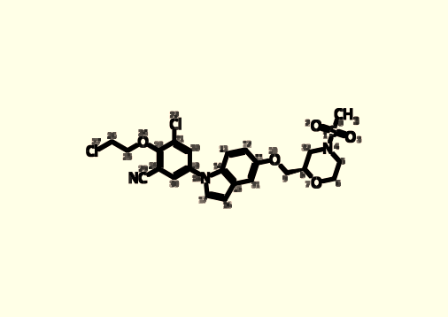 CS(=O)(=O)N1CCO[C@@H](COc2ccc3c(ccn3-c3cc(Cl)c(OCCCl)c(C#N)c3)c2)C1